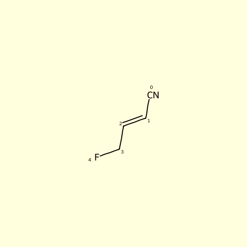 N#CC=CCF